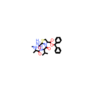 CNC(C)C(=O)NC(C(=O)N1C(C(=O)OC(c2ccccc2)c2ccccc2)CSC1C(N)=O)C(C)C